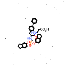 O=C(O)CCNC(=O)[C@H](Cc1ccc(-c2ccccc2)cc1)NCP(=O)(Oc1ccc2c(c1)CCC2)Oc1ccc2c(c1)CCC2